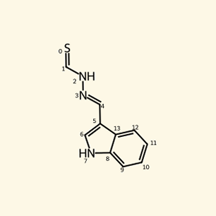 S=CN/N=C/c1c[nH]c2ccccc12